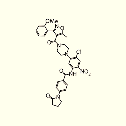 COc1ccccc1-c1noc(C)c1C(=O)N1CCN(c2cc(NC(=O)c3ccc(N4CCCC4=O)cc3)c([N+](=O)[O-])cc2Cl)CC1